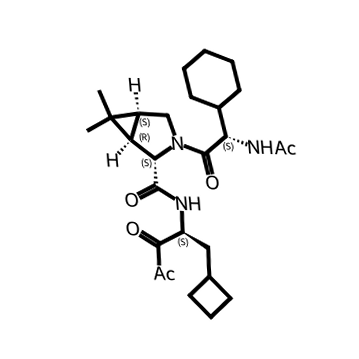 CC(=O)N[C@H](C(=O)N1C[C@H]2[C@@H]([C@H]1C(=O)N[C@@H](CC1CCC1)C(=O)C(C)=O)C2(C)C)C1CCCCC1